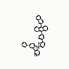 c1ccc(-c2ccc3c(c2)c2cnccc2n3-c2cccc(-c3ccc(-c4c5ccccc5c(-c5ccc6ccccc6c5)c5ccccc45)cc3)n2)cc1